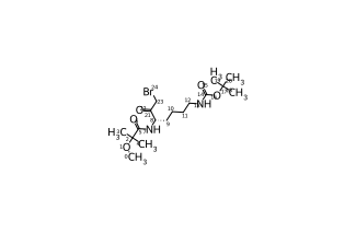 COC(C)(C)C(=O)N[C@@H](CCCCNC(=O)OC(C)(C)C)C(=O)CBr